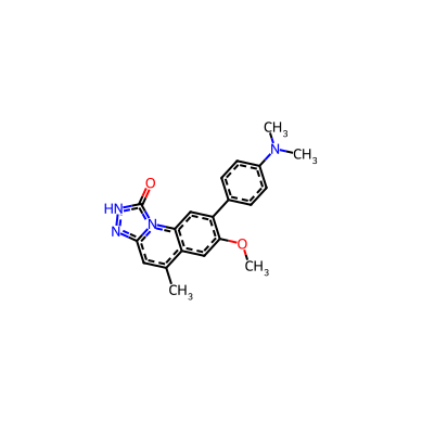 COc1cc2c(C)cc3n[nH]c(=O)n3c2cc1-c1ccc(N(C)C)cc1